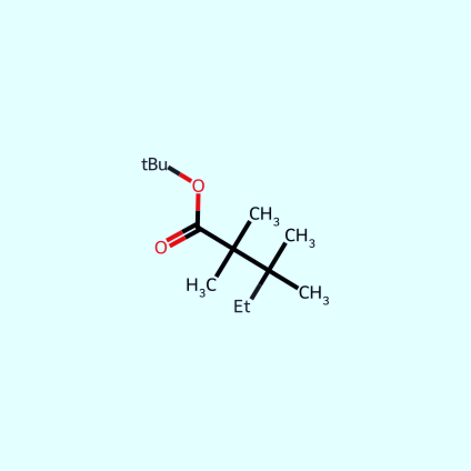 CCC(C)(C)C(C)(C)C(=O)OC(C)(C)C